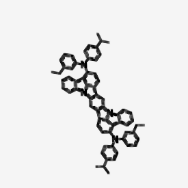 CCc1cccc(N(c2ccc(C(C)C)cc2)c2ccc3c4cc5c(cc4n4c6ccccc6c2c34)c2ccc(N(c3ccc(C(C)C)cc3)c3cccc(CC)c3)c3c4ccccc4n5c23)c1